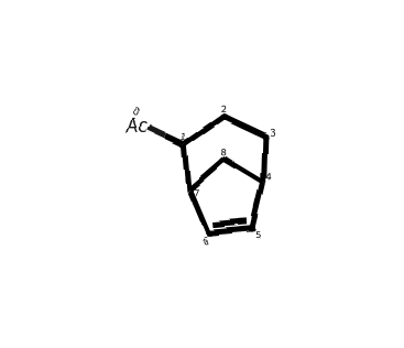 CC(=O)C1CCC2C=CC1C2